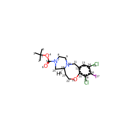 CC(C)(C)OC(=O)N1CCN2Cc3cc(Cl)c(I)c(Cl)c3OCC[C@H]2C1